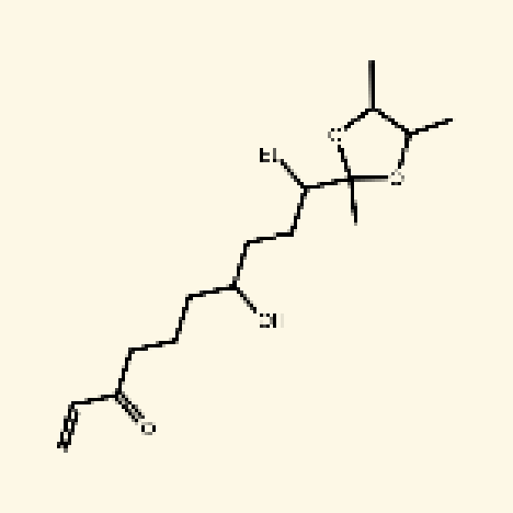 C=CC(=O)CCCC(O)CCC(CC)C1(C)OC(C)C(C)O1